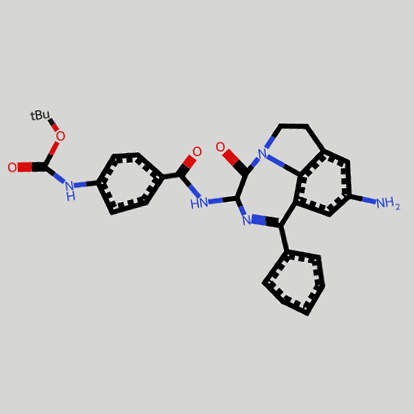 CC(C)(C)OC(=O)Nc1ccc(C(=O)NC2N=C(c3ccccc3)c3cc(N)cc4c3N(CC4)C2=O)cc1